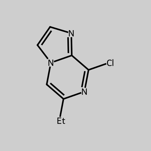 CCc1cn2ccnc2c(Cl)n1